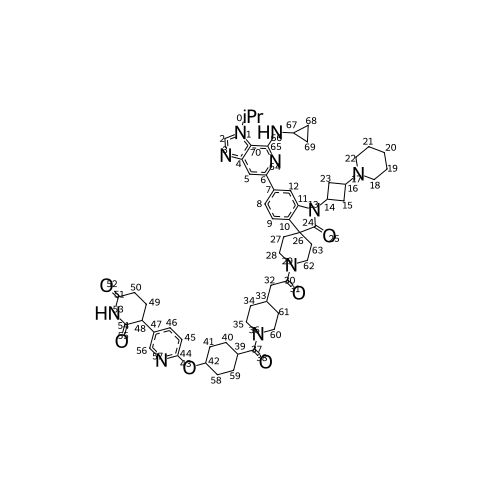 CC(C)n1cnc2cc(-c3ccc4c(c3)N(C3CC(N5CCCCC5)C3)C(=O)C43CCN(C(=O)CC4CCN(C(=O)C5CCC(Oc6ccc(C7CCC(=O)NC7=O)cn6)CC5)CC4)CC3)nc(NC3CC3)c21